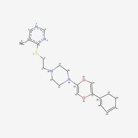 N#Cc1cncnc1SCCN1CCN(C2=COC(C3=CC=CCC3)=CO2)CC1